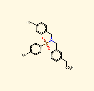 CCCCc1ccc(CN(Cc2cccc(CC(=O)O)c2)S(=O)(=O)c2ccc([N+](=O)[O-])cc2)cc1